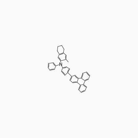 Cc1cc2c(cc1N(c1ccccc1)c1ccc(-c3ccc4c5ccccc5c5ccccc5c4c3)cc1)CCCC2